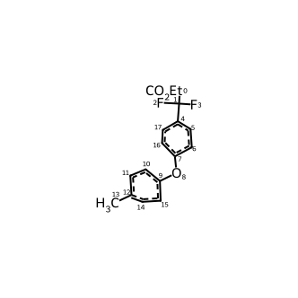 CCOC(=O)C(F)(F)c1ccc(Oc2ccc(C)cc2)cc1